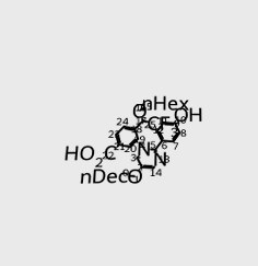 CCCCCCCCCCOc1cnc(-c2ccc(O)cc2)nc1.CCCCCCOC(c1ccc(C(=O)O)cc1)C(F)(F)F